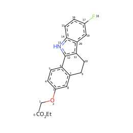 CCOC(=O)COc1ccc2c(c1)CCc1c-2[nH]c2ccc(F)cc12